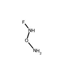 NONF